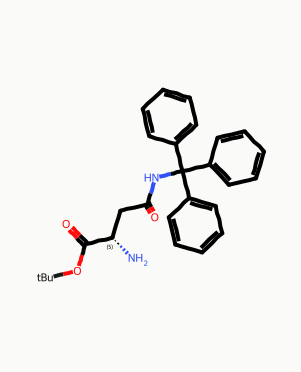 CC(C)(C)OC(=O)[C@@H](N)CC(=O)NC(c1ccccc1)(c1ccccc1)c1ccccc1